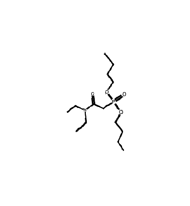 CCCCOP(=O)(CC(=O)N(CC)CC)OCCCC